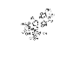 CCNC(=O)c1noc(-c2cc(C(C)C)c(OP(=O)(O)OP(=O)(O)O)cc2OP(=O)(O)OP(=O)(O)O)c1-c1noc(C)n1.[KH]